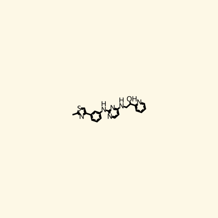 Cc1nc(-c2cccc(Nc3nccc(NCC(O)c4ccccn4)n3)c2)cs1